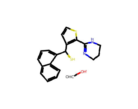 O=CO.SC(c1ccsc1C1=NCCCN1)c1cccc2ccccc12